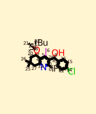 CC(C)c1nc2c(c(I)c1[C@H](O)c1ccc(Cl)cc1)C(O[Si](C)(C)C(C)(C)C)CC(C)(C)C2